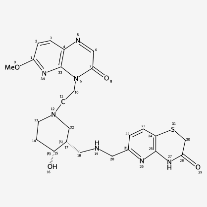 COc1ccc2ncc(=O)n(CCN3CC[C@@H](O)[C@@H](CNCc4ccc5c(n4)NC(=O)CS5)C3)c2n1